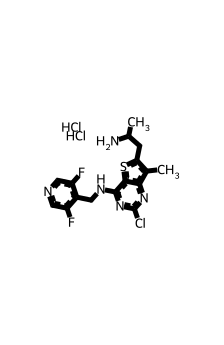 Cc1c(CC(C)N)sc2c(NCc3c(F)cncc3F)nc(Cl)nc12.Cl.Cl